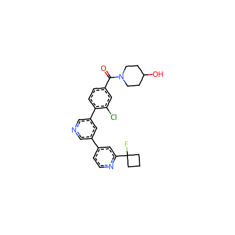 O=C(c1ccc(-c2cncc(-c3ccnc(C4(F)CCC4)c3)c2)c(Cl)c1)N1CCC(O)CC1